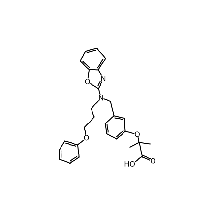 CC(C)(Oc1cccc(CN(CCCOc2ccccc2)c2nc3ccccc3o2)c1)C(=O)O